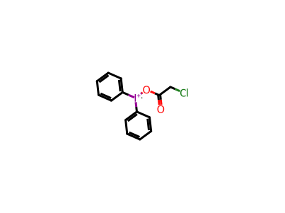 O=C(CCl)O[I+](c1ccccc1)c1ccccc1